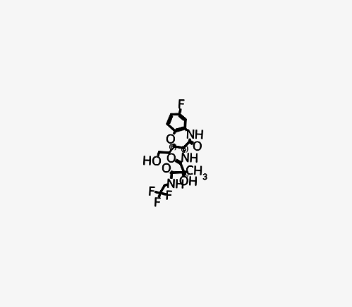 C[C@@](O)(C(=O)NCC(F)(F)F)C(=O)N[C@@H]1C(=O)Nc2cc(F)ccc2O[C@@H]1CCO